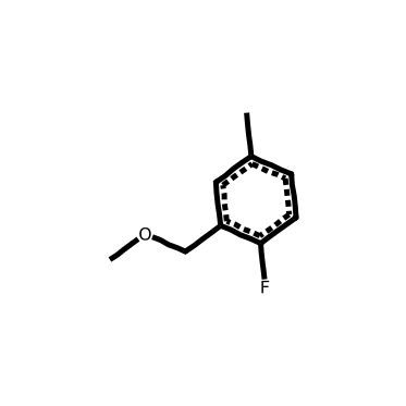 COCc1cc(C)ccc1F